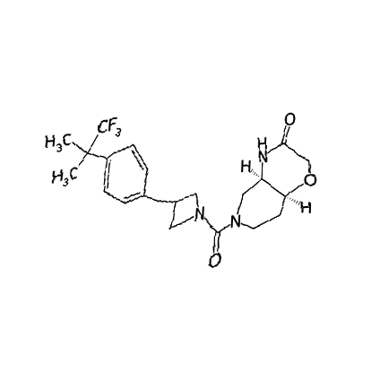 CC(C)(c1ccc(C2CN(C(=O)N3CC[C@@H]4OCC(=O)N[C@@H]4C3)C2)cc1)C(F)(F)F